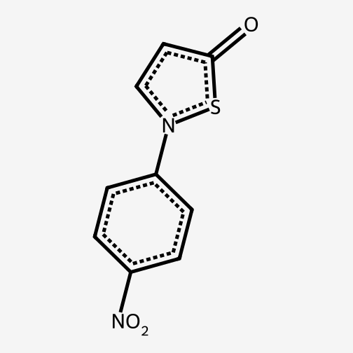 O=c1ccn(-c2ccc([N+](=O)[O-])cc2)s1